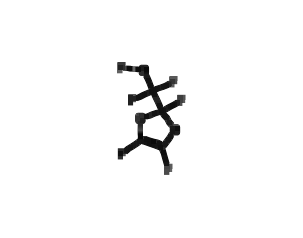 FOC(F)(F)C1(F)OC(F)=C(F)O1